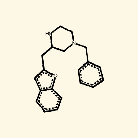 c1ccc(CN2CCNC(Cc3cc4ccccc4o3)C2)cc1